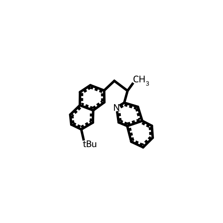 CC(Cc1ccc2ccc(C(C)(C)C)cc2c1)c1cc2ccccc2cn1